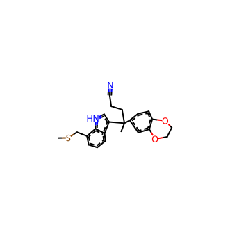 CSCc1cccc2c(C(C)(CCC#N)c3ccc4c(c3)OCCO4)c[nH]c12